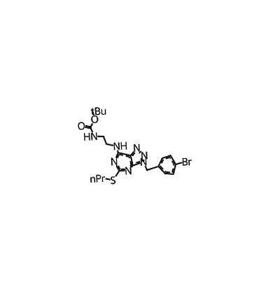 CCCSc1nc(NCCNC(=O)OC(C)(C)C)c2nnn(Cc3ccc(Br)cc3)c2n1